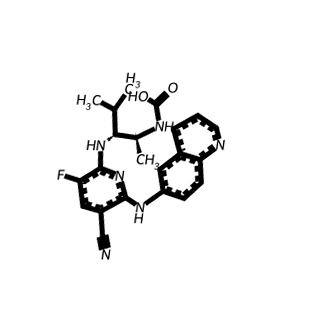 CC(C)[C@@H](Nc1nc(Nc2ccc3ncccc3c2)c(C#N)cc1F)[C@H](C)NC(=O)O